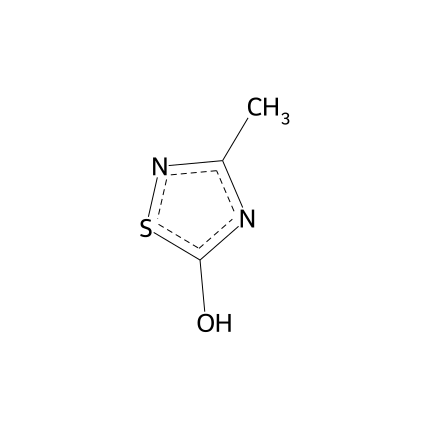 Cc1nsc(O)n1